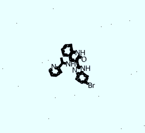 CC(Nc1c(-c2nc3ccc(Br)cc3[nH]2)c(=O)[nH]c2ccccc12)c1ccccn1